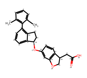 Cc1cccc(C)c1-c1cccc2c1CC[C@H]2Oc1ccc2c(c1)OCC2CC(=O)O